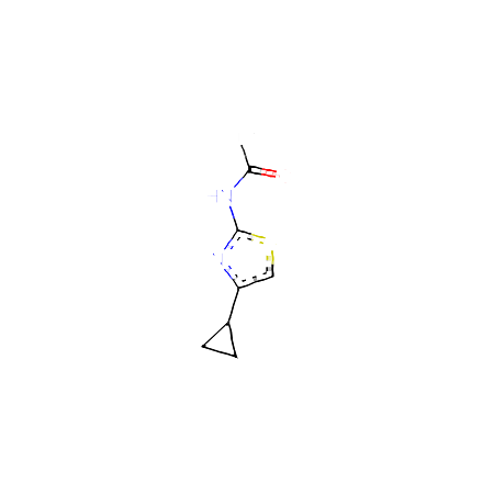 CC(C)C(=O)Nc1nc(C2CC2)cs1